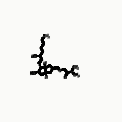 CCCCC[C@H](O)C=C[C@@H]1[C@H]2CC(=CSCC(=O)N(C)C)C[C@H]2C[C@H]1O